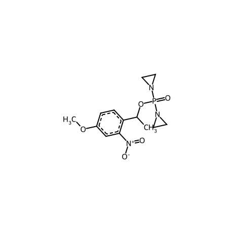 COc1ccc(C(C)OP(=O)(N2CC2)N2CC2)c([N+](=O)[O-])c1